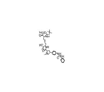 CN1CC(c2ccc(NC(=O)Nc3ccccc3)cc2)CC1C(=O)NC(CCSCC(NC(=O)CC(C)(C)C)C(=O)O)C(=O)O